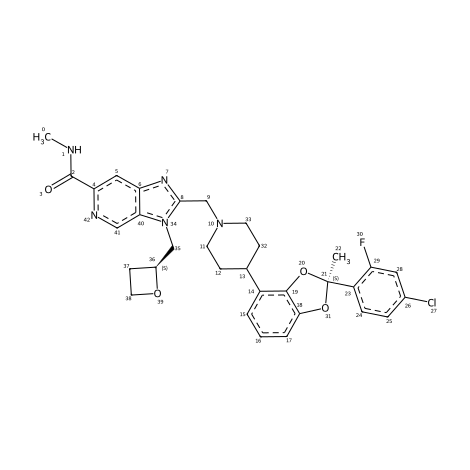 CNC(=O)c1cc2nc(CN3CCC(c4cccc5c4O[C@@](C)(c4ccc(Cl)cc4F)O5)CC3)n(C[C@@H]3CCO3)c2cn1